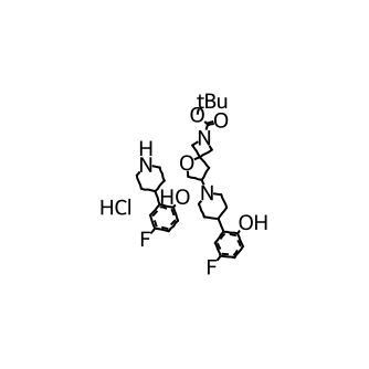 CC(C)(C)OC(=O)N1CC2(CC(N3CCC(c4cc(F)ccc4O)CC3)CO2)C1.Cl.Oc1ccc(F)cc1C1CCNCC1